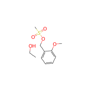 CCO.COc1ccccc1COS(C)(=O)=O